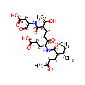 CC[C@H](C)C(CCC(C)=O)C(=O)N[C@@H](CCC(=O)O)C(=O)CCC(C(=O)NC(C=O)CC(=O)O)[C@@H](C)O